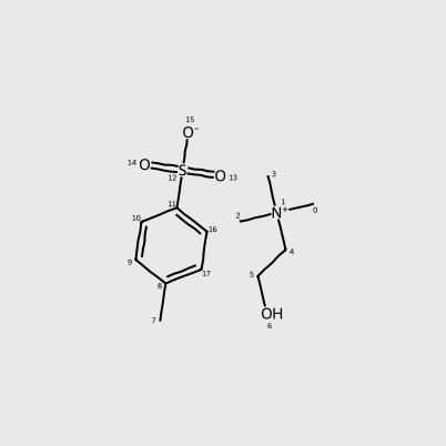 C[N+](C)(C)CCO.Cc1ccc(S(=O)(=O)[O-])cc1